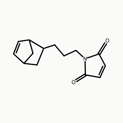 O=C1C=CC(=O)N1CCCC1CC2C=CC1C2